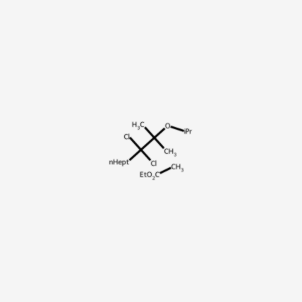 CCCCCCCC(Cl)(Cl)C(C)(C)OC(C)C.CCOC(C)=O